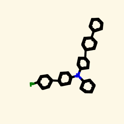 Fc1ccc(-c2ccc(N(c3ccccc3)c3ccc(-c4ccc(-c5ccccc5)cc4)cc3)cc2)cc1